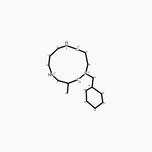 CC1CNCCCNCCCN(CC2CCCCC2)C1